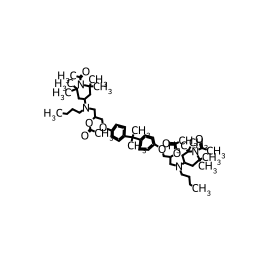 CCCCN(CC(COc1ccc(C(C)(C)c2ccc(OCC(CN(CCCC)C3CC(C)(C)N(C(C)=O)C(C)(C)C3)OC(C)=O)cc2)cc1)OC(C)=O)C1CC(C)(C)N(C(C)=O)C(C)(C)C1